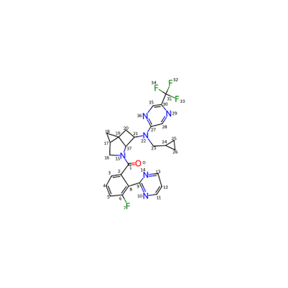 O=C(c1cccc(F)c1-c1ncccn1)N1CC2CC23CC(N(CC2CC2)c2cnc(C(F)(F)F)cn2)C13